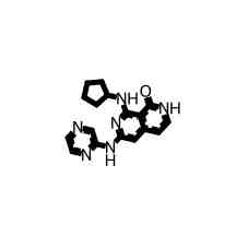 O=c1[nH]ccc2cc(Nc3cnccn3)nc(NC3CCCC3)c12